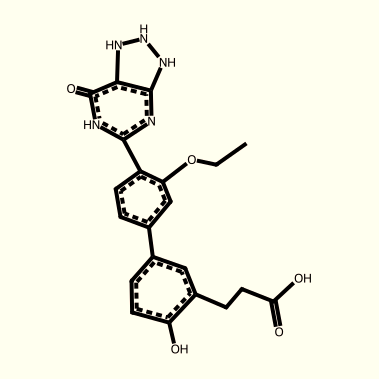 CCOc1cc(-c2ccc(O)c(CCC(=O)O)c2)ccc1-c1nc2c(c(=O)[nH]1)NNN2